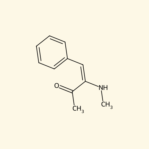 CN/C(=C/c1ccccc1)C(C)=O